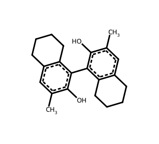 Cc1cc2c(c(-c3c(O)c(C)cc4c3CCCC4)c1O)CCCC2